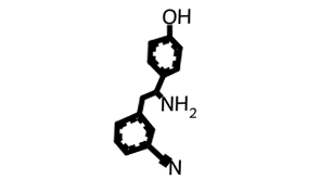 N#Cc1cccc(CC(N)c2ccc(O)cc2)c1